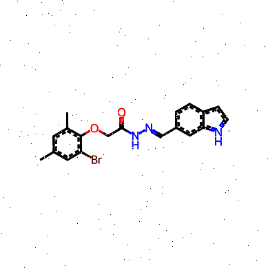 Cc1cc(C)c(OCC(=O)NN=Cc2ccc3cc[nH]c3c2)c(Br)c1